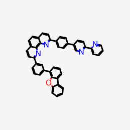 c1ccc(-c2ccc(-c3ccc(-c4ccc5ccc6ccc(-c7cccc(-c8cccc9c8oc8ccccc89)c7)nc6c5n4)cc3)cn2)nc1